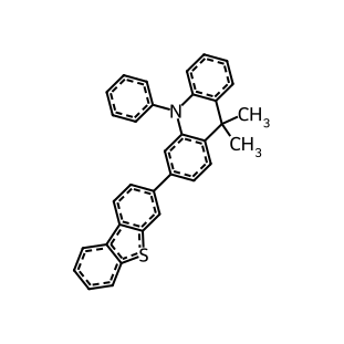 CC1(C)c2ccccc2N(c2ccccc2)c2cc(-c3ccc4c(c3)sc3ccccc34)ccc21